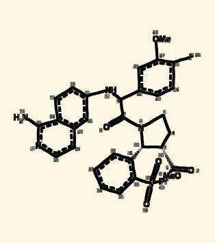 COC(=O)[C@H]1CCN(C(=O)C(Nc2ccc3c(N)nccc3c2)c2ccc(F)c(OC)c2)[C@H]1c1ccccc1S(=O)(=O)C(C)C